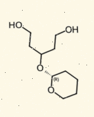 OCCC(CCO)O[C@@H]1CCCCO1